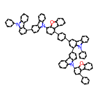 c1ccc(-c2ccc(-n3c4ccccc4c4cc(-c5cc(-c6ccc(-c7ccc(-n8c9ccccc9c9cc(-c%10cccc%11c%10c%10ccccc%10n%11-c%10ccccc%10)ccc98)c8oc9ccccc9c78)cc6)cc6c7ccccc7n(-c7ccccc7)c56)ccc43)c3oc4ccccc4c23)cc1